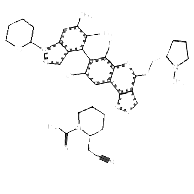 Cc1cc2c(cnn2C2CCCCO2)c(-c2c(Cl)cc3c(nc(OC[C@@H]4CCCN4C)c4cnn([C@H]5CCN(C(=O)O)[C@H](CC#N)C5)c43)c2F)c1C